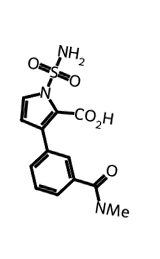 CNC(=O)c1cccc(-c2ccn(S(N)(=O)=O)c2C(=O)O)c1